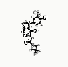 O=C(Cn1ncc2scc(-c3ccc(Cl)c(C(F)(F)F)c3)c2c1=O)N1CC(F)(F)C1